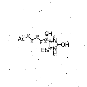 CC[C@H]1NC(O)N=C1[C@@H](C)CCCCC(C)=O